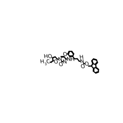 CCC1OC(n2cc3c(nc2=O)Nc2c(CCCNC(=O)OCC4c5ccccc5-c5ccccc54)cccc2O3)CC1O